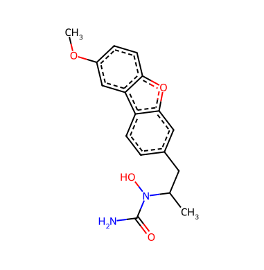 COc1ccc2oc3cc(CC(C)N(O)C(N)=O)ccc3c2c1